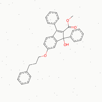 COC(=O)C1=C(c2ccccc2)c2ccc(OCCCc3ccccc3)cc2C1(O)c1ccccc1